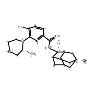 C[C@@H]1CNCCN1c1nc(C(=O)N[C@H]2C3CC4CC2C[C@](O)(C4)C3)ccc1F